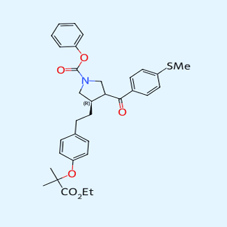 CCOC(=O)C(C)(C)Oc1ccc(CC[C@H]2CN(C(=O)Oc3ccccc3)CC2C(=O)c2ccc(SC)cc2)cc1